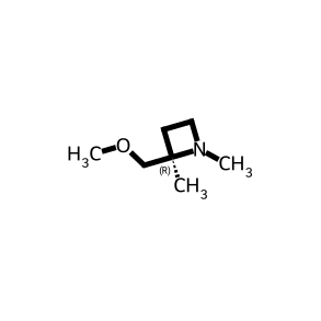 COC[C@@]1(C)CCN1C